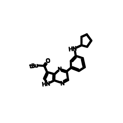 CC(C)(C)C(=O)c1c[nH]c2ncc(-c3cccc(NC4CCCC4)c3)nc12